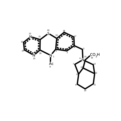 CC(=O)N1c2cc(CN3CC4CCCC(C3)C4CC(=O)O)ccc2Sc2nccnc21